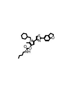 CCCCNC(=O)Oc1cc(-c2csc(-c3ccc4c(c3)CCO4)n2)n(CC2CCCCC2)c1C